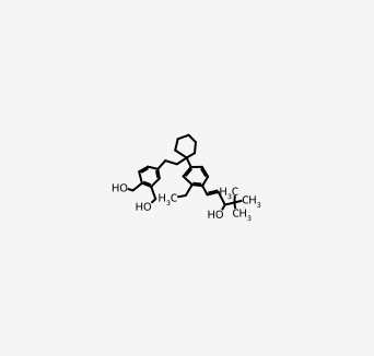 CCc1cc(C2(CCc3ccc(CO)c(CO)c3)CCCCC2)ccc1/C=C/C(O)C(C)(C)C